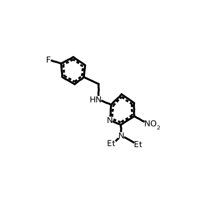 CCN(CC)c1nc(NCc2ccc(F)cc2)ccc1[N+](=O)[O-]